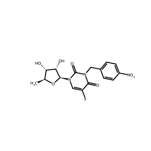 C[C@@H]1O[C@H](n2cc(F)c(=O)n(Cc3ccc([N+](=O)[O-])cc3)c2=O)[C@@H](O)[C@H]1O